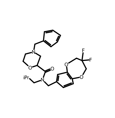 CC(C)CN(Cc1ccc2c(c1)OCC(F)(F)CO2)C(=O)C1CN(Cc2ccccc2)CCO1